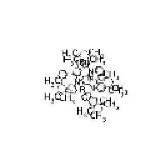 CC(C)(C)c1ccc2c(c1)-c1cccc(c1)C1(C)CCC(C)(C)c3cc4c(cc31)N2c1cc(N(c2ccccc2)c2ccc3c(c2)C(C)(C)CCC3(C)C)cc2c1B4c1oc3cc4c(cc3c1N2c1ccc2c(c1)C(C)(C)CCC2(C)C)C(C)(C)CCC4(C)C